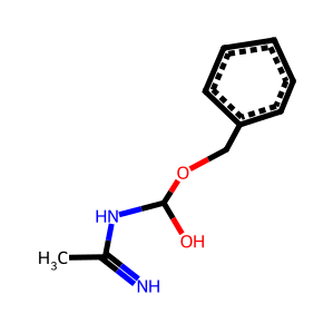 CC(=N)NC(O)OCc1ccccc1